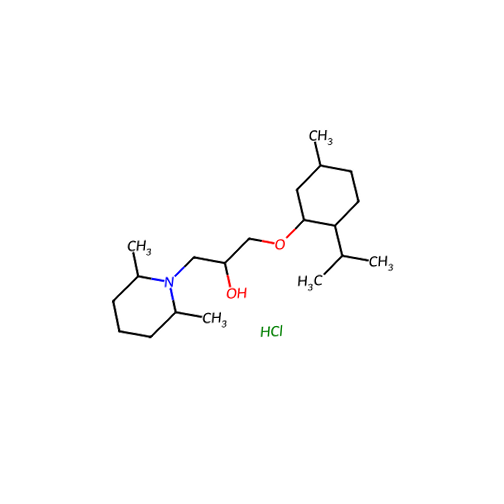 CC1CCC(C(C)C)C(OCC(O)CN2C(C)CCCC2C)C1.Cl